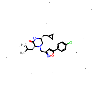 CC(C)C[C@H]1C(=O)N[C@@H](CC2CC2)CN1Cc1cc(-c2ccc(Cl)cc2)on1